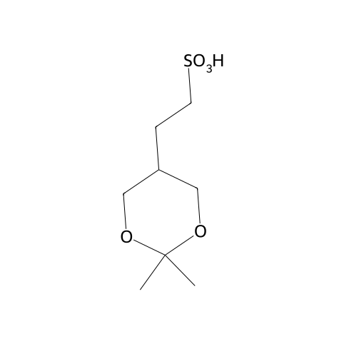 CC1(C)OCC(CCS(=O)(=O)O)CO1